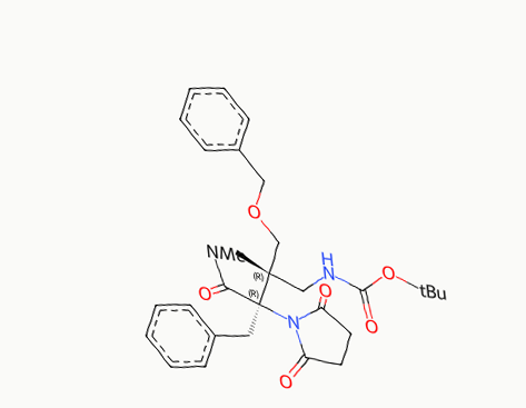 CNC(=O)[C@](Cc1ccccc1)(N1C(=O)CCC1=O)[C@@](C)(CNC(=O)OC(C)(C)C)COCc1ccccc1